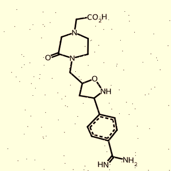 N=C(N)c1ccc(C2CC(CN3CCN(CC(=O)O)CC3=O)ON2)cc1